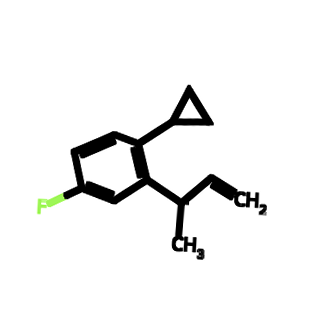 C=C[C](C)c1cc(F)ccc1C1CC1